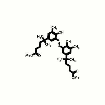 COC(=O)CCCC(C)(C)c1cc(C)c(O)c(SSc2cc(C(C)(C)CCCC(=O)OC)cc(C)c2O)c1